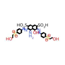 Nc1c(N=Nc2ccc(S(=O)(=O)CCO)cc2)c(S(=O)(=O)O)cc2cc(S(=O)(=O)O)c(N=Nc3ccc(S(=O)(=O)CCO)cc3)c(O)c12